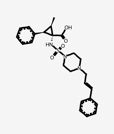 C[C@@H]1[C@H](c2ccccc2)[C@]1(NS(=O)(=O)N1CCN(CC=Cc2ccccc2)CC1)C(=O)O